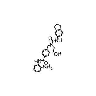 Nc1ccccc1NC(=O)c1ccc(CN(CCO)C(=O)Nc2ccc3c(c2)CCC3)cc1